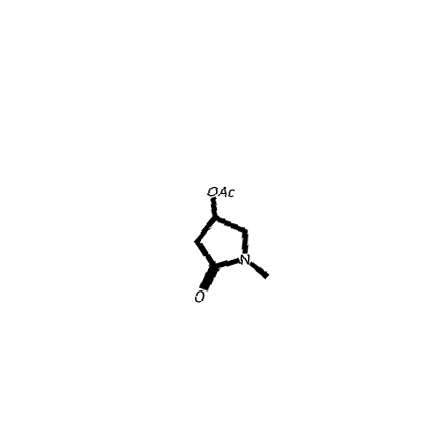 CC(=O)OC1CC(=O)N(C)C1